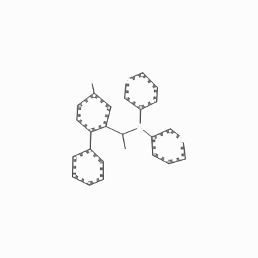 CC(c1cc(C(F)(F)F)ccc1-c1ccccc1)N(c1cccnc1)c1cccnc1